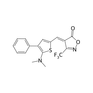 CN(C)c1sc(C=C2C(=O)ON=C2C(F)(F)F)cc1-c1ccccc1